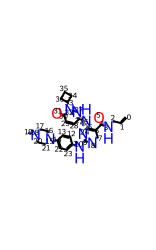 C=CCNC(=O)c1cnc(Nc2ccc(N3CCN(C)CC3)cc2)nc1Nc1ccc(=O)n(C2CCC2)n1